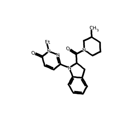 CCn1nc(N2c3ccccc3CC2C(=O)N2CCCC(C)C2)ccc1=O